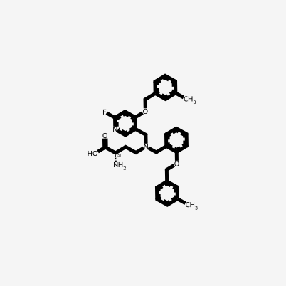 Cc1cccc(COc2ccccc2CN(CC[C@H](N)C(=O)O)Cc2cnc(F)cc2OCc2cccc(C)c2)c1